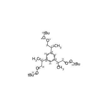 CC(COOC(C)(C)C)c1cc(C(C)COOC(C)(C)C)cc(C(C)COOC(C)(C)C)c1